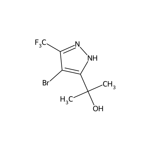 CC(C)(O)c1[nH]nc(C(F)(F)F)c1Br